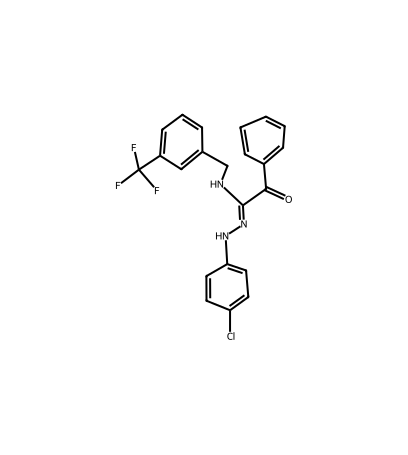 O=C(C(=NNc1ccc(Cl)cc1)NCc1cccc(C(F)(F)F)c1)c1ccccc1